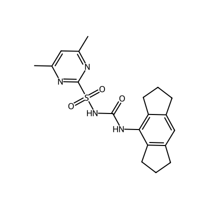 Cc1cc(C)nc(S(=O)(=O)NC(=O)Nc2c3c(cc4c2CCC4)CCC3)n1